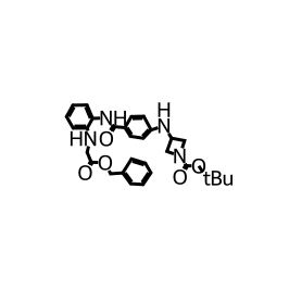 CC(C)(C)OC(=O)N1CC(Nc2ccc(C(=O)Nc3ccccc3NCC(=O)OCc3ccccc3)cc2)C1